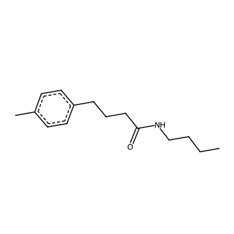 CCCCNC(=O)CCCc1ccc(C)cc1